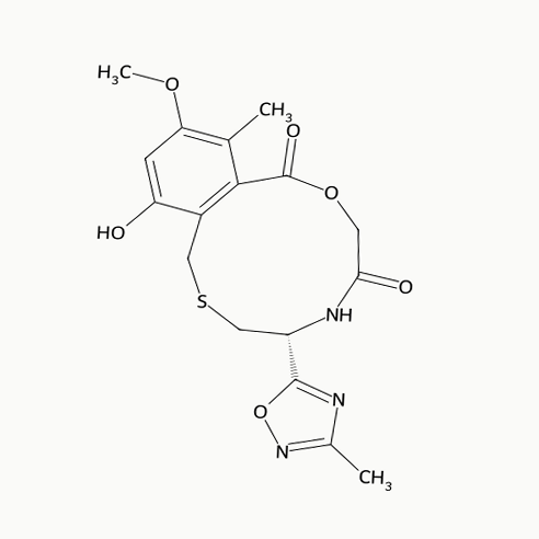 COc1cc(O)c2c(c1C)C(=O)OCC(=O)N[C@H](c1nc(C)no1)CSC2